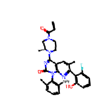 C=CC(=O)N1CCN(c2nc(=O)n(-c3c(C)cccc3CCC)c3nc(-c4c(O)cccc4F)c(C)cc23)[C@@H](C)C1